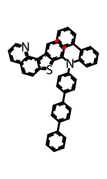 c1ccc(-c2ccc(-c3ccc(N(c4ccccc4-c4ccccc4)c4cccc5c4sc4ccc6cccnc6c45)cc3)cc2)cc1